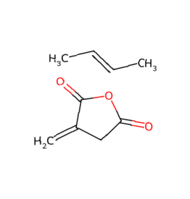 C=C1CC(=O)OC1=O.CC=CC